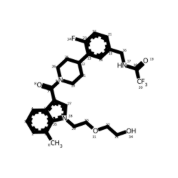 Cc1cccc2c(C(=O)N3CCC(c4cc(CNC(=O)C(F)(F)F)ccc4F)CC3)cn(CCOCCO)c12